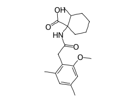 COc1cc(C)cc(C)c1CC(=O)NC1(C(=O)O)CCCCC1C